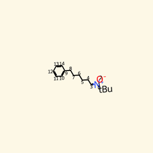 CC(C)(C)[N+]([O-])=CCCCCCc1ccccc1